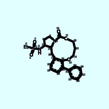 CCS(=O)(=O)NC1CCN2C(=O)CCCCOc3c(cccc3-c3ccccc3)CC12